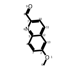 COc1ccc2nc(C=O)ccc2c1